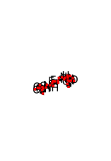 COC(=O)NC(C(=O)N(Cc1cnc(-c2ccc3c(c2)C(F)(F)c2cc(-c4ccc5nc([C@@H]6[C@H]7CC[C@H](C7)N6C(=O)[C@H](c6ccccc6)N6CCOCC6)[nH]c5c4)ccc2-3)[nH]1)CC1(C)CC1)C(C)C